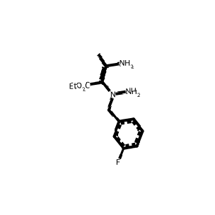 CCOC(=O)/C(=C(\C)N)N(N)Cc1cccc(F)c1